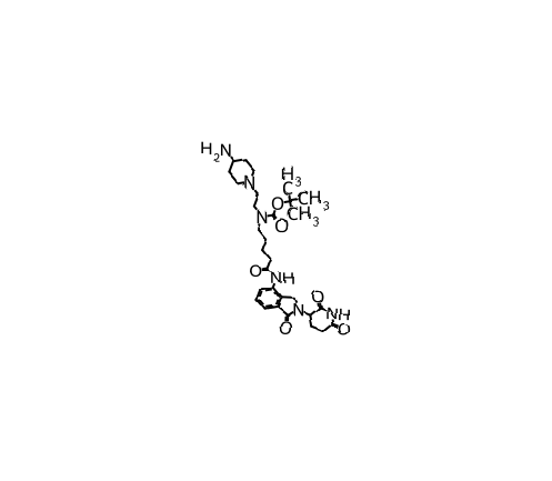 CC(C)(C)OC(=O)N(CCCCC(=O)Nc1cccc2c1CN(C1CCC(=O)NC1=O)C2=O)CCN1CCC(N)CC1